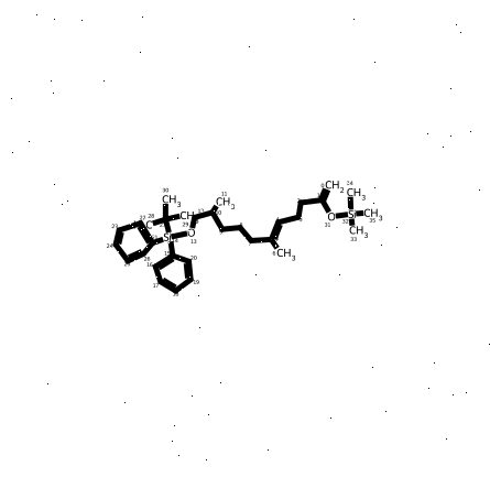 C=C(CCC=C(C)CCCC(C)CO[Si](c1ccccc1)(c1ccccc1)C(C)(C)C)O[Si](C)(C)C